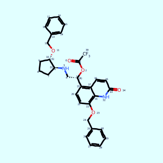 O=C(O[C@@H](CN[C@H]1CCC[C@@H]1OCc1ccccc1)c1ccc(OCc2ccccc2)c2[nH]c(=O)ccc12)C(F)(F)F